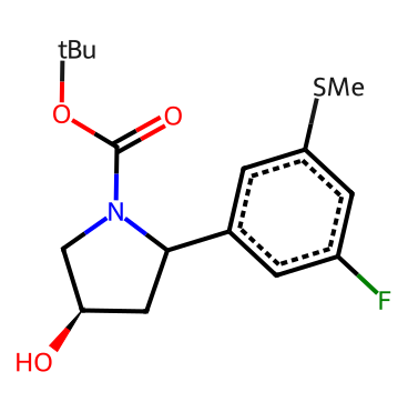 CSc1cc(F)cc(C2C[C@@H](O)CN2C(=O)OC(C)(C)C)c1